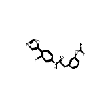 O=C(Cc1cccc(OC(F)F)c1)Nc1ccc(-c2cnco2)c(F)c1